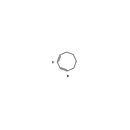 C1=CCCCCC=C1.[Ir].[Ir]